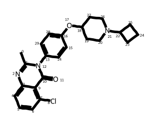 Cc1nc2cccc(Cl)c2c(=O)n1-c1ccc(OC2CCN(C3CCC3)CC2)cc1